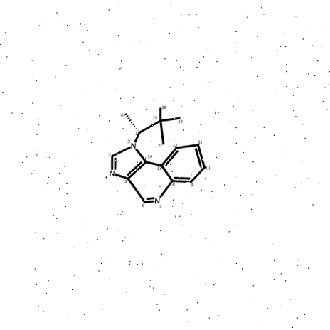 C[C@@H](n1cnc2cnc3ccccc3c21)C(C)(C)C